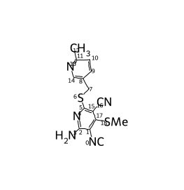 [C-]#[N+]c1c(N)nc(SCc2ccc(C)nc2)c(C#N)c1SC